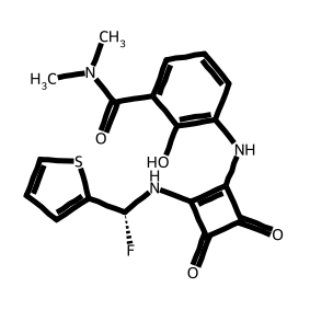 CN(C)C(=O)c1cccc(Nc2c(N[C@H](F)c3cccs3)c(=O)c2=O)c1O